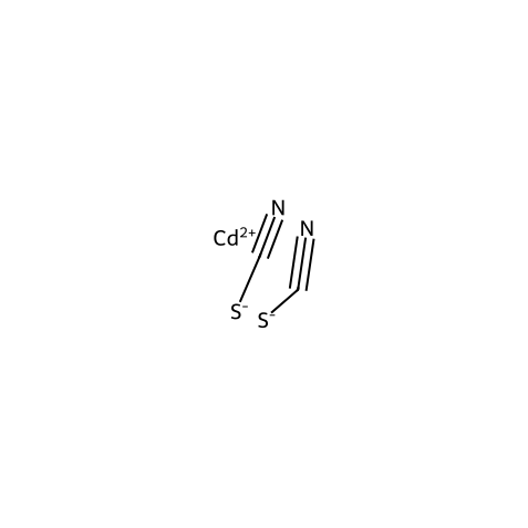 N#C[S-].N#C[S-].[Cd+2]